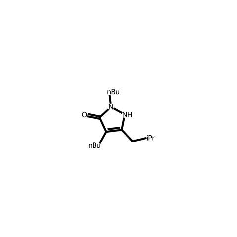 CCCCc1c(CC(C)C)[nH]n(CCCC)c1=O